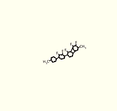 Cc1ccc(-c2ccc(-c3ccc4c(c3F)-c3c-4cc(C)c(F)c3F)c(F)c2F)cc1